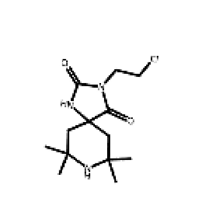 CC1(C)CC2(CC(C)(C)N1)NC(=O)N(CCCl)C2=O